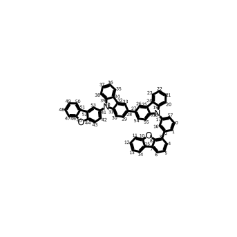 c1cc(-c2cccc3c2oc2ccccc23)cc(-n2c3ccccc3c3cc(-c4ccc5c(c4)c4ccccc4n5-c4ccc5oc6ccccc6c5c4)ccc32)c1